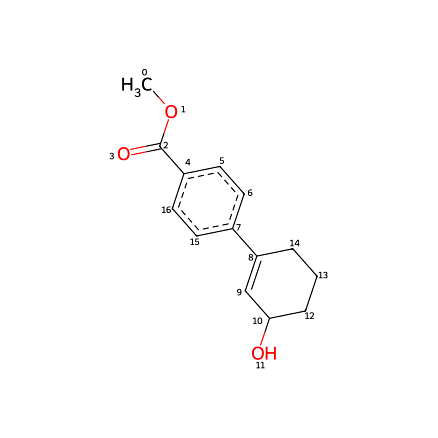 COC(=O)c1ccc(C2=CC(O)CCC2)cc1